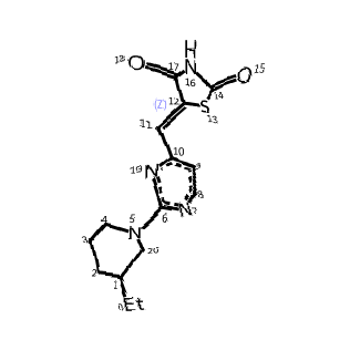 CCC1CCCN(c2nccc(/C=C3\SC(=O)NC3=O)n2)C1